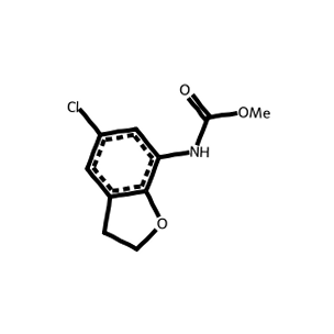 COC(=O)Nc1cc(Cl)cc2c1OCC2